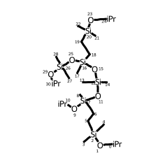 CC(C)O[Si](C)(C)CC[Si](C)(OC(C)C)O[Si](C)(C)O[Si](C)(CC[Si](C)(C)OC(C)C)O[Si](C)(C)OC(C)C